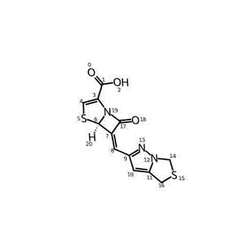 O=C(O)C1=CS[C@@H]2C(=Cc3cc4n(n3)CSC4)C(=O)N12